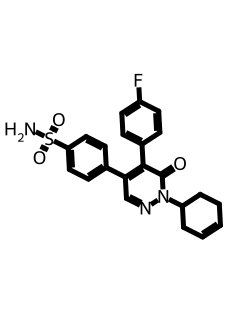 NS(=O)(=O)c1ccc(-c2cnn(C3CC=CCC3)c(=O)c2-c2ccc(F)cc2)cc1